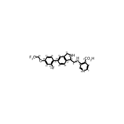 O=C(O)c1ccncc1NCC1NCc2cc(-c3ccc(OCC(F)(F)F)cc3F)ccc21